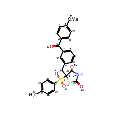 COc1ccc(C(=O)c2cccc(CC3(S(=O)(=O)c4ccc(C)cc4)SC(=O)NC3=O)c2)cc1